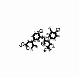 COC(=O)CC(c1ccc(Cl)c(NC(=O)[C@H](c2ccc(Cl)c(C)c2)[C@@H](C)C(F)(F)F)c1)C(C)C